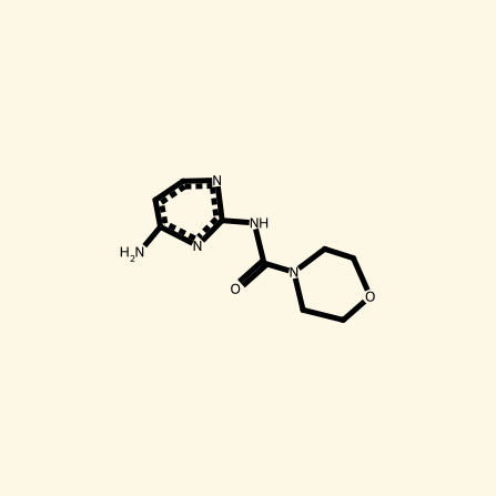 Nc1ccnc(NC(=O)N2CCOCC2)n1